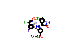 CNC(=O)C1CCC(Nc2cc(=O)[nH]c3ccc(Br)cc23)CC1.Cc1cc(I)cc2c(Cl)cc(=O)[nH]c12